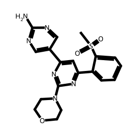 CS(=O)(=O)c1ccccc1-c1cc(-c2cnc(N)nc2)nc(N2CCOCC2)n1